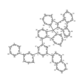 c1ccc(-c2cccc(-c3cc(-c4ccc5ccccc5c4)nc(-c4cccc5c4-c4ccccc4C54c5ccccc5-c5c4c4ccccc4c4ccccc54)n3)c2)cc1